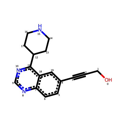 OCC#Cc1ccc2ncnc(C3CCNCC3)c2c1